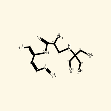 C=N/C=C\C(=C/C)NC(=O)C(C)CNC(CC)(CO)CO